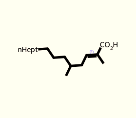 CCCCCCCCCCC(C)C/C=C(\C)C(=O)O